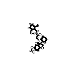 O=C(CN1C(=O)C2(COc3cc4c(cc32)OCO4)c2ccccc21)NCc1c(F)cccc1F